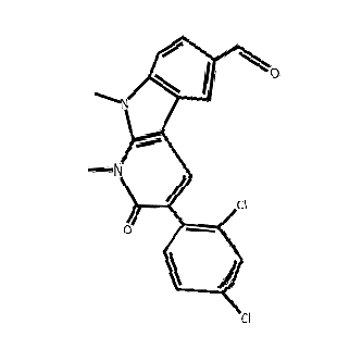 Cn1c(=O)c(-c2ccc(Cl)cc2Cl)cc2c3cc(C=O)ccc3n(C)c21